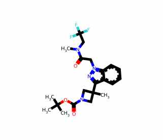 CN(CC(F)(F)F)C(=O)Cn1nc(C2(C)CN(C(=O)OC(C)(C)C)C2)c2ccccc21